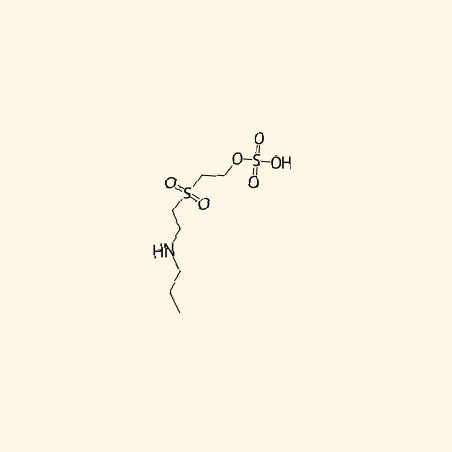 CCCNCCS(=O)(=O)CCOS(=O)(=O)O